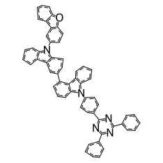 c1ccc(-c2nc(-c3ccccc3)nc(-c3ccc(-n4c5ccccc5c5c(-c6ccc7c(c6)c6ccccc6n7-c6ccc7oc8ccccc8c7c6)cccc54)cc3)n2)cc1